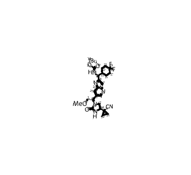 COC[C@H](c1cnn2cc([C@@H](NC(=O)OC(C)(C)C)C3CCC(F)(F)CC3)nc2c1)N1C[C@@H](C2(C#N)CC2)NC1=O